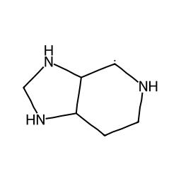 [CH]1NCCC2NCNC12